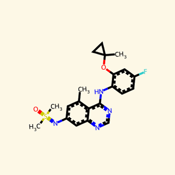 Cc1cc(N=S(C)(C)=O)cc2ncnc(Nc3ccc(F)cc3OC3(C)CC3)c12